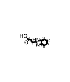 O=C(O)CCc1nc2cc[c]cc2[nH]1